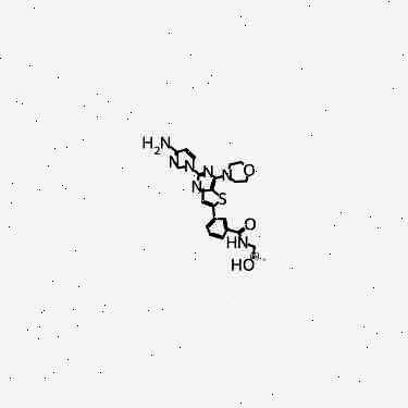 C[C@H](O)CNC(=O)c1cccc(-c2cc3nc(N4C=CC(N)=NC4)nc(N4CCOCC4)c3s2)c1